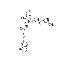 CCOC(=O)C(CNC(=O)CCCCc1ccc2c(n1)NCCC2)NC(=O)C1CN(S(=O)(=O)c2cnn(C)c2)C1